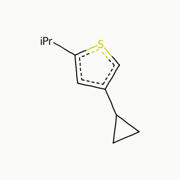 CC(C)c1cc(C2CC2)cs1